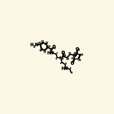 CCNCCN(CCNC(=O)c1ccc(N)cc1)C(=O)CCN1C(=O)C=CC1=O